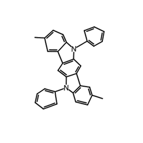 Cc1ccc2c(c1)c1cc3c(cc1n2-c1ccccc1)c1cc(C)ccc1n3-c1ccccc1